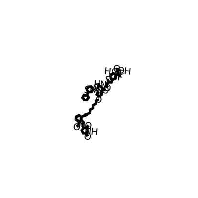 CC(C)(C)[C@H](NC(=O)c1cc2cc(C(F)(F)P(=O)(O)O)ccc2s1)C(=O)N1C[C@@H](OCCCCCCC#Cc2cccc3c2CN(C2CCC(=O)NC2=O)C3=O)C[C@H]1C(=O)N1CCSC(c2ccccc2)C1